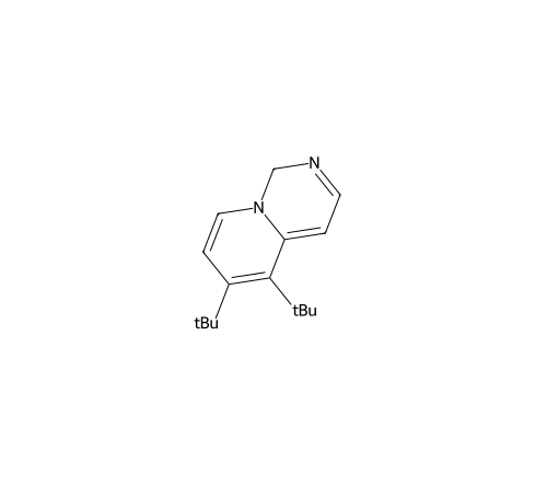 CC(C)(C)C1=C(C(C)(C)C)C2=CC=NCN2C=C1